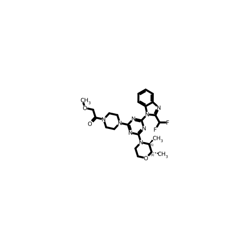 COCC(=O)N1CCN(c2nc(N3CCO[C@@H](C)[C@@H]3C)nc(-n3c(C(F)F)nc4ccccc43)n2)CC1